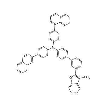 Cc1c(-c2cccc(-c3ccc(N(c4ccc(-c5ccc6ccccc6c5)cc4)c4ccc(-c5cccc6ccccc56)cc4)cc3)c2)oc2ccccc12